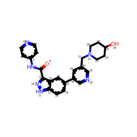 O=C(Nc1ccncc1)c1n[nH]c2ccc(-c3cncc(CN4CCC(O)CC4)c3)cc12